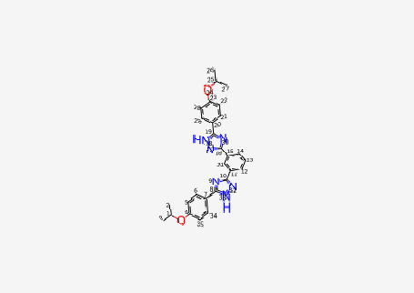 CC(C)Oc1ccc(-c2nc(-c3cccc(-c4n[nH]c(-c5ccc(OC(C)C)cc5)n4)c3)n[nH]2)cc1